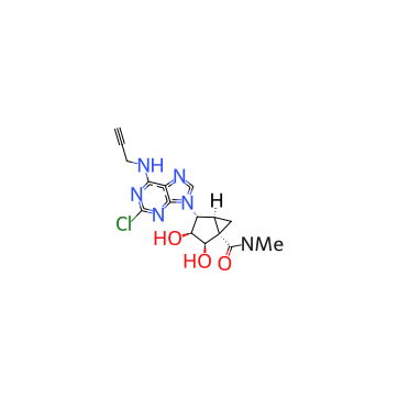 C#CCNc1nc(Cl)nc2c1ncn2[C@H]1[C@H](O)[C@H](O)[C@]2(C(=O)NC)C[C@H]12